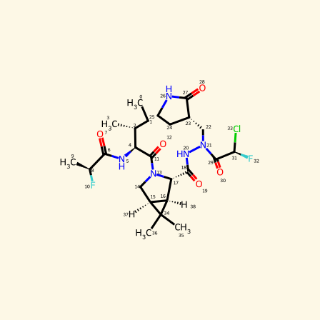 CC[C@@H](C)[C@H](NC(=O)[C@H](C)F)C(=O)N1C[C@H]2[C@@H]([C@H]1C(=O)NN(C[C@@H]1CCNC1=O)C(=O)[C@H](F)Cl)C2(C)C